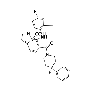 Cc1cc(F)ccc1NC1=C(C(=O)N2CCC(F)(c3ccccc3)CC2)C=NC2=CC=N[N+]21C(=O)O